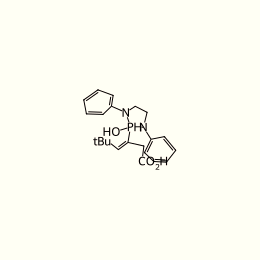 CC(C)(C)/C=C(/CC(=O)O)[PH]1(O)N(c2ccccc2)CCN1c1ccccc1